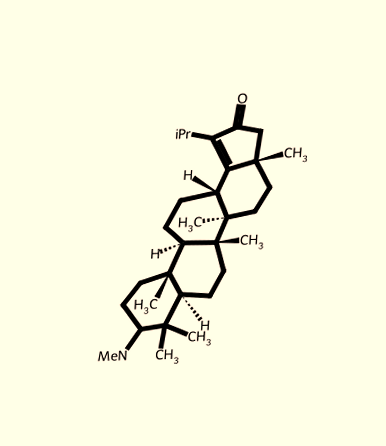 CNC1CC[C@]2(C)[C@H]3CC[C@@H]4C5=C(C(C)C)C(=O)C[C@]5(C)CC[C@@]4(C)[C@]3(C)CC[C@H]2C1(C)C